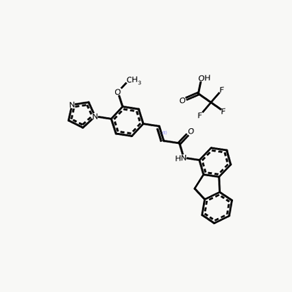 COc1cc(/C=C/C(=O)Nc2cccc3c2Cc2ccccc2-3)ccc1-n1ccnc1.O=C(O)C(F)(F)F